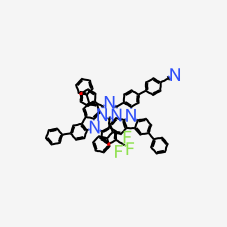 N#Cc1ccc(-c2ccc(-c3nc(-c4ccccc4)nc(-c4cc(C(F)(F)F)ccc4-n4c5ccc(-c6ccccc6)cc5c5cc(-c6ccccc6)ccc54)n3)c(-n3c4ccc(-c5ccccc5)cc4c4cc(-c5ccccc5)ccc43)c2)cc1